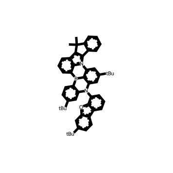 CC(C)(C)c1ccc2c(c1)N(c1cccc3c1oc1cc(C(C)(C)C)ccc13)c1cc(C(C)(C)C)cc3c1B2c1cccc2c4c(n-3c12)-c1ccccc1C4(C)C